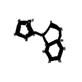 C1=CC(c2ncco2)c2ccccc21